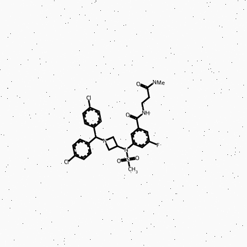 CNC(=O)CCNC(=O)c1cc(F)cc(N(C2CN(C(c3ccc(Cl)cc3)c3ccc(Cl)cc3)C2)S(C)(=O)=O)c1